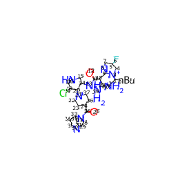 CCCCC(C)=[N+]1CC(F)C=NC1C(C(=O)NC1CNCC(Cl)C1N1CCC(C(=O)N2CCN3CCC2CC3)CC1)C(N)N